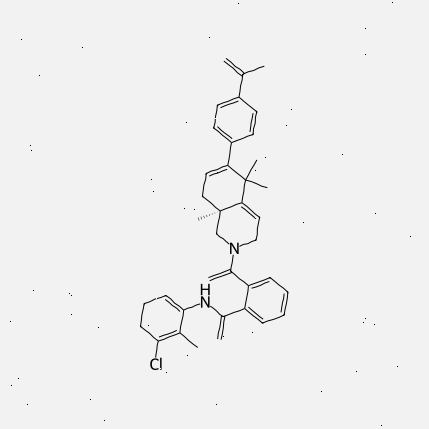 C=C(C)c1ccc(C2=CC[C@]3(C)CN(C(=C)c4ccccc4C(=C)NC4=CCCC(Cl)=C4C)CC=C3C2(C)C)cc1